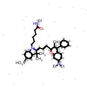 CCNC(=O)CCCCCN1/C(=C/C=C/c2oc3cc(=[N+](CC)CC)ccc-3c(-c3ccccc3)c2C)C(C)(C)c2cc(S(=O)(=O)O)ccc21